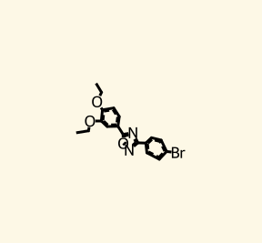 CCOc1ccc(-c2nc(-c3ccc(Br)cc3)no2)cc1OCC